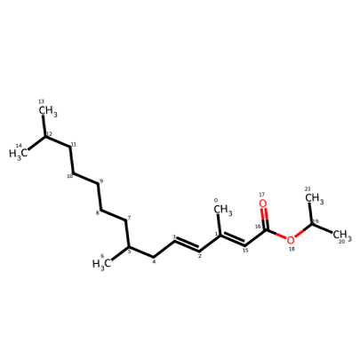 CC(/C=C/CC(C)CCCCCC(C)C)=C\C(=O)OC(C)C